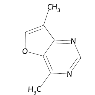 Cc1coc2c(C)ncnc12